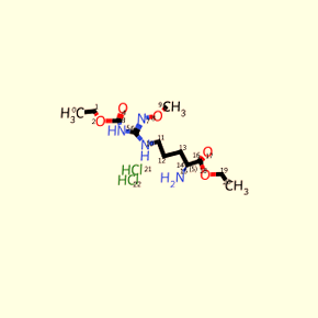 CCOC(=O)NC(=NOC)NCCC[C@H](N)C(=O)OCC.Cl.Cl